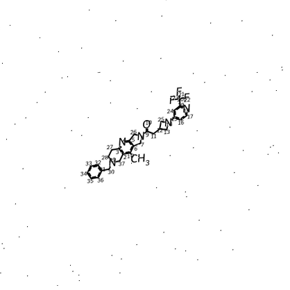 Cc1c2c(nc3c1CN(C(=O)CC1CN(c4ccnc(C(F)(F)F)c4)C1)C3)CCN(Cc1ccccc1)C2